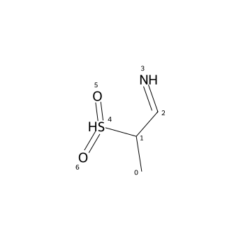 CC(C=N)[SH](=O)=O